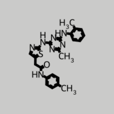 Cc1ccc(NC(=O)Cc2cnc(Nc3nc(C)nc(Nc4ccccc4C)n3)s2)cc1